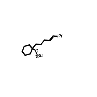 CC(C)/C=C/CCCC1(OC(C)(C)C)CCCCC1